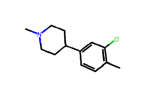 Cc1ccc(C2CCN(C)CC2)cc1Cl